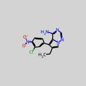 [CH2]Cc1cn2ncnc(N)c2c1-c1ccc([N+](=O)[O-])c(Cl)c1